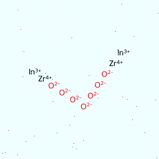 [In+3].[In+3].[O-2].[O-2].[O-2].[O-2].[O-2].[O-2].[O-2].[Zr+4].[Zr+4]